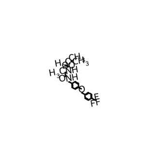 C[C@H](NC(=O)OC(C)(C)C)C(=O)NCc1ccc(OCc2ccc(C(F)(F)F)cc2)cc1